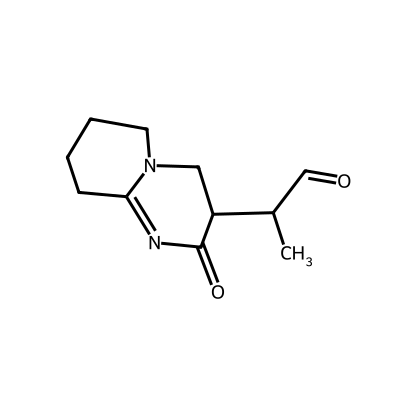 CC(C=O)C1CN2CCCCC2=NC1=O